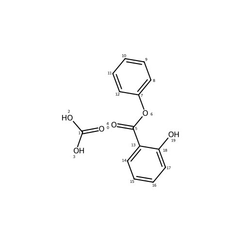 O=C(O)O.O=C(Oc1ccccc1)c1ccccc1O